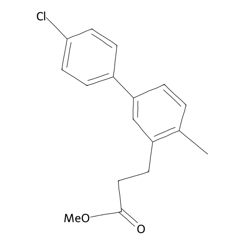 COC(=O)CCc1cc(-c2ccc(Cl)cc2)ccc1C